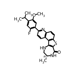 COc1cc(-c2ccc3c(ccc4sc5c(c43)NC[C@@H](C)NC5=O)n2)c(F)cc1C(C)C